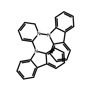 C1=CCN(n2c3ccccc3c3ccccc32)C(n2c3ccccc3c3ccccc32)=C1